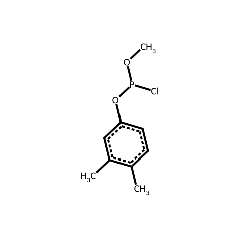 COP(Cl)Oc1ccc(C)c(C)c1